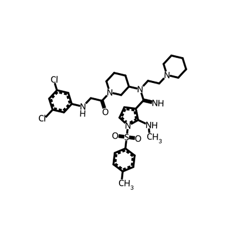 CNc1c(C(=N)N(CCN2CCCCC2)C2CCCN(C(=O)CNc3cc(Cl)cc(Cl)c3)C2)ccn1S(=O)(=O)c1ccc(C)cc1